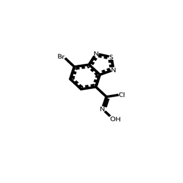 ON=C(Cl)c1ccc(Br)c2nsnc12